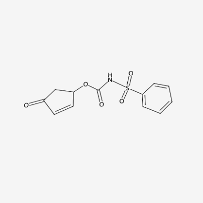 O=C1C=CC(OC(=O)NS(=O)(=O)c2ccccc2)C1